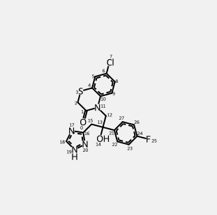 O=C1CSc2cc(Cl)ccc2N1CC(O)(Cc1nc[nH]n1)c1ccc(F)cc1